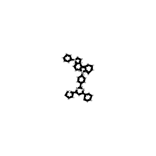 c1ccc(-c2cc(-c3ccccc3)nc(-c3ccc(-n4c5ccccc5c5c6ccn(-c7ccccc7)c6ccc54)cc3)n2)cc1